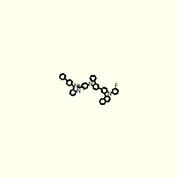 C=C(/N=C1/C=CC=C/C1=C(/N)C1=CC=C(C2=CC=CCC2)CC1)C1=CCC(N2c3ccccc3C3C=C(C4=CC5c6c(ccc7c6CCC=C7)N(C6C=CC=C(F)C6)C5C=C4)C=CC32)C=C1